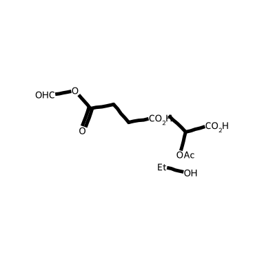 CC(=O)OC(C)C(=O)O.CCO.O=COC(=O)CCC(=O)O